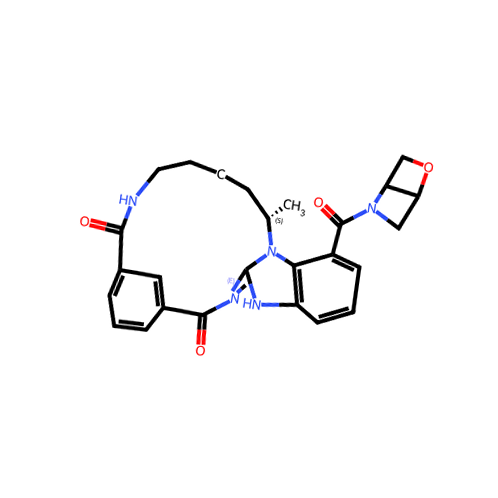 C[C@H]1CCCCNC(=O)c2cccc(c2)C(=O)/N=C2\Nc3cccc(C(=O)N4CC5OCC54)c3N21